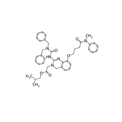 CC(C)COC(=O)CN1Cc2cccc(OCCCC(=O)N(C)c3ccccc3)c2N=C1NC(=O)N(Cc1ccccc1)Cc1ccccc1